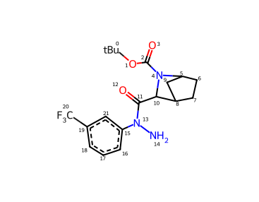 CC(C)(C)OC(=O)N1C2CCC(C2)C1C(=O)N(N)c1cccc(C(F)(F)F)c1